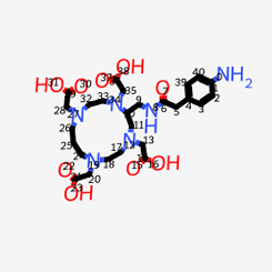 Nc1ccc(CC(=O)NCC2CN(CC(=O)O)CCN(CC(=O)O)CCCN(CC(=O)O)CCN2CC(=O)O)cc1